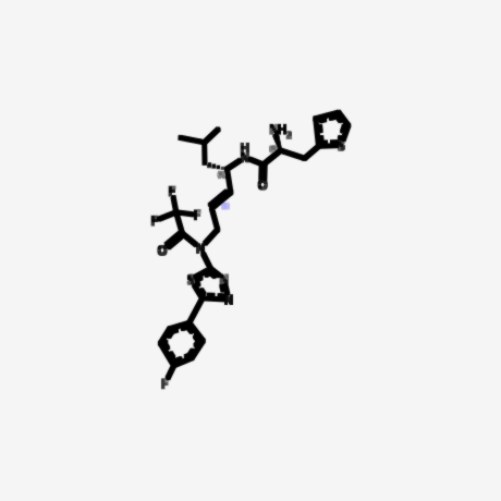 CC(C)C[C@@H](/C=C/CN(C(=O)C(F)(F)F)c1nnc(-c2ccc(F)cc2)s1)NC(=O)[C@@H](N)Cc1cccs1